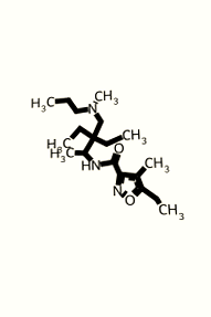 CCCN(C)CC(CC)(CC)C(C)NC(=O)c1noc(CC)c1C